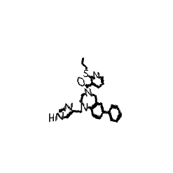 CCCSc1ncccc1C(=O)N1CCN(Cc2c[nH]cn2)c2ccc(-c3ccccc3)cc2C1